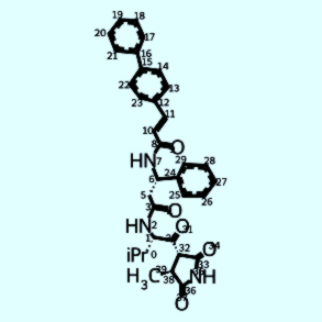 CC(C)[C@H](NC(=O)C[C@H](NC(=O)C=Cc1ccc(-c2ccccc2)cc1)c1ccccc1)C(=O)[C@@H]1C(=O)NC(=O)[C@H]1C